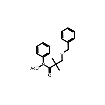 CC(=O)ON(C(=O)C(C)(C)COCc1ccccc1)c1ccccc1